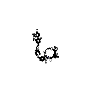 Cc1cc2cc(n1)-c1cnn(C)c1OCCC[C@@H](C)CN1/C(=N/C2=O)Nc2ccc(CN3CCC4(CC3)CN(CCc3cc(F)c([C@H]5CCC(=O)NC5=O)c(F)c3)C4)cc21